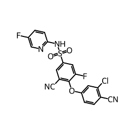 N#Cc1ccc(Oc2c(F)cc(S(=O)(=O)Nc3ccc(F)cn3)cc2C#N)cc1Cl